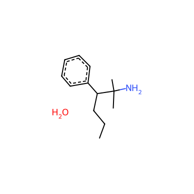 CCCC(c1ccccc1)C(C)(C)N.O